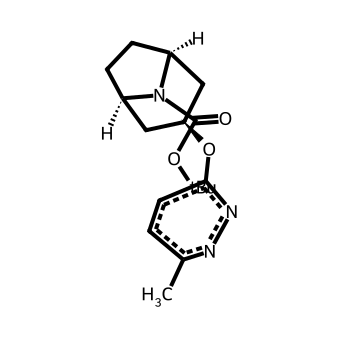 Cc1ccc(O[C@H]2C[C@H]3CC[C@@H](C2)N3C(=O)OC(C)(C)C)nn1